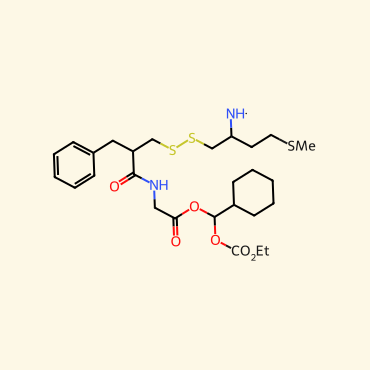 CCOC(=O)OC(OC(=O)CNC(=O)C(CSSCC([NH])CCSC)Cc1ccccc1)C1CCCCC1